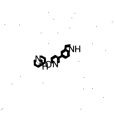 c1cc2cc(-c3ccc(OC4CCN5CCC[C@@H]4C5)nc3)ccc2[nH]1